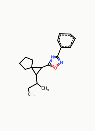 CCC(C)C1C(c2nc(-c3ccccc3)no2)C12CCCC2